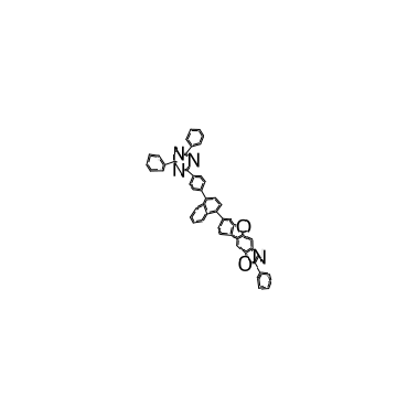 c1ccc(-c2nc(-c3ccccc3)nc(-c3ccc(-c4ccc(-c5ccc6c(c5)oc5cc7nc(-c8ccccc8)oc7cc56)c5ccccc45)cc3)n2)cc1